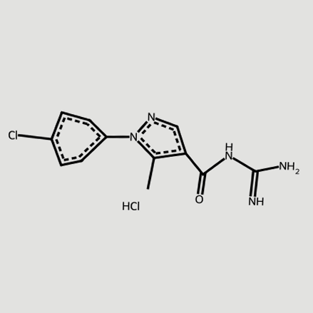 Cc1c(C(=O)NC(=N)N)cnn1-c1ccc(Cl)cc1.Cl